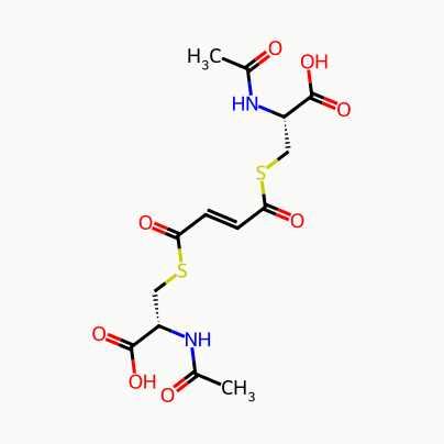 CC(=O)N[C@@H](CSC(=O)/C=C/C(=O)SC[C@H](NC(C)=O)C(=O)O)C(=O)O